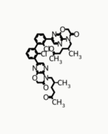 CC(=O)CC[C@H](C)CN1C(=O)COc2nc(-c3cccc(-c4cccc(-c5cnc6c(n5)OCC(=O)N6C[C@@H](C)CCC(C)=O)c4Cl)c3Cl)cnc21